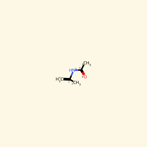 C=C(C)NC(C)=O